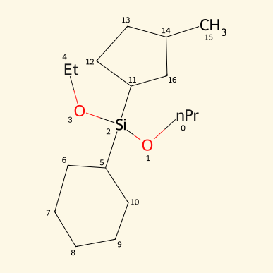 CCCO[Si](OCC)(C1CCCCC1)C1CCC(C)C1